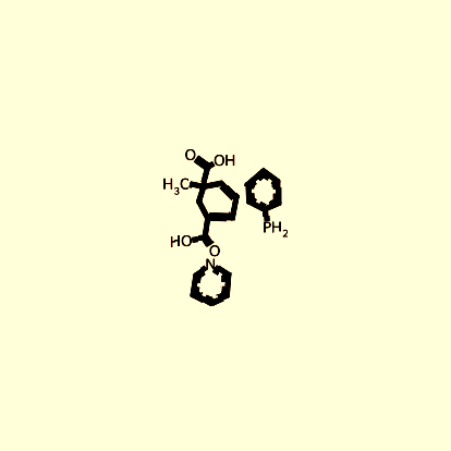 CC1(C(=O)O)C=CC=C(C(=O)O)C1.Pc1ccccc1.c1ccncc1